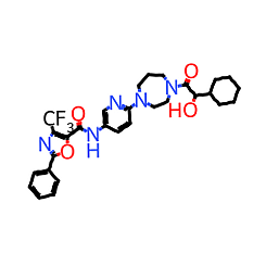 O=C(Nc1ccc(N2CCCN(C(=O)C(O)C3CCCCC3)CC2)nc1)c1oc(-c2ccccc2)nc1C(F)(F)F